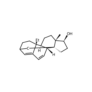 CC[C@]12CCC3C=C1C=C[C@@H]1[C@@H]2CC[C@]2(C)[C@@H](O)CC[C@@]12C3